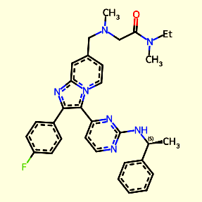 CCN(C)C(=O)CN(C)Cc1ccn2c(-c3ccnc(N[C@@H](C)c4ccccc4)n3)c(-c3ccc(F)cc3)nc2c1